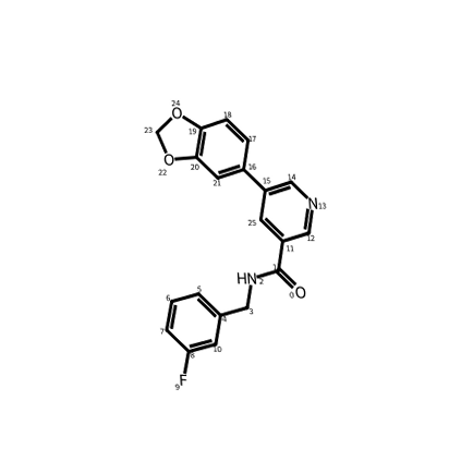 O=C(NCc1cccc(F)c1)c1cncc(-c2ccc3c(c2)OCO3)c1